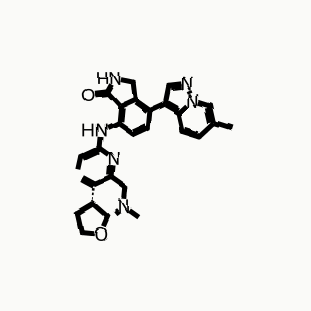 C=C(/C(CN(C)C)=N\C(=C/C)Nc1ccc(-c2cnn3cc(C)ccc23)c2c1C(=O)NC2)[C@H]1CCOC1